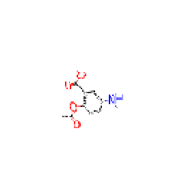 CNc1ccc(OC(C)=O)c(C(=O)OC)c1